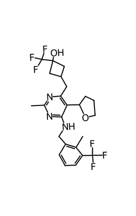 Cc1nc(CC2CC(O)(C(F)(F)F)C2)c(C2CCCO2)c(NCc2cccc(C(F)(F)F)c2C)n1